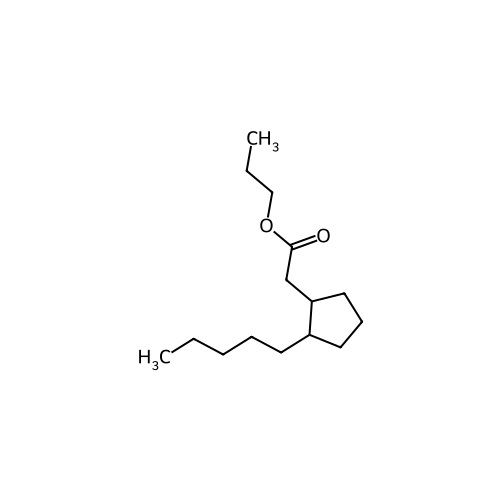 CCCCCC1CCCC1CC(=O)OCCC